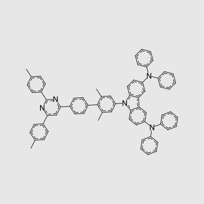 Cc1ccc(-c2cc(-c3ccc(-c4c(C)cc(-n5c6ccc(N(c7ccccc7)c7ccccc7)cc6c6cc(N(c7ccccc7)c7ccccc7)ccc65)cc4C)cc3)nc(-c3ccc(C)cc3)n2)cc1